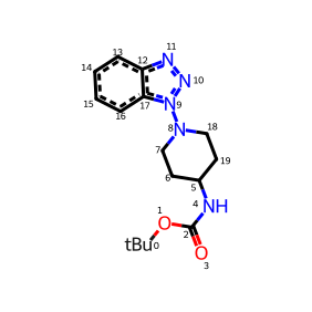 CC(C)(C)OC(=O)NC1CCN(n2nnc3ccccc32)CC1